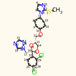 CSc1nccn1-c1ccc(OC[C@@H]2CO[C@@](Cn3cncn3)(c3ccc(Cl)cc3Cl)O2)cc1